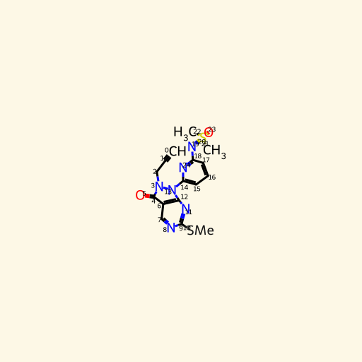 C#CCn1c(=O)c2cnc(SC)nc2n1-c1cccc(N=S(C)(C)=O)n1